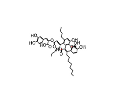 CCCCCCCC/C(=C(\C(=O)O)c1c(O)c(O)cc(CCCC)c1/C(=C/C(=O)O/C(=C/c1ccc(O)c(O)c1)C(=O)O)CCCCC)c1ccc(O)c(O)c1